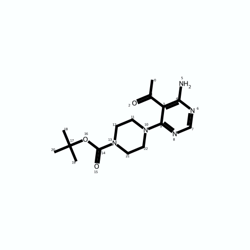 CC(=O)c1c(N)ncnc1N1CCN(C(=O)OC(C)(C)C)CC1